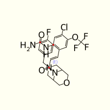 NC(=O)Nc1cc(Cl)c(OC(F)(F)F)cc1/C=C/C(=O)N1C2COCC1CN(Cc1ccc(F)cc1)C2